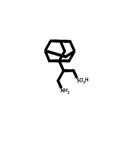 NCC(CS(=O)(=O)O)C12CC3CC(CC(C3)C1)C2